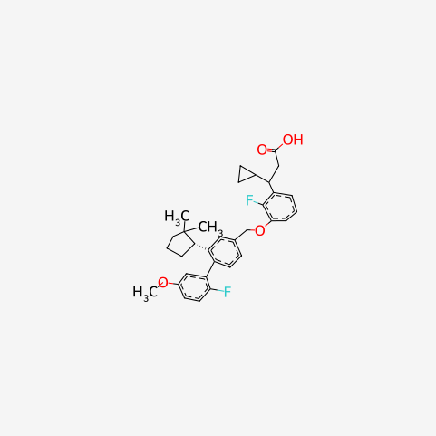 COc1ccc(F)c(-c2ccc(COc3cccc(C(CC(=O)O)C4CC4)c3F)cc2[C@@H]2CCCC2(C)C)c1